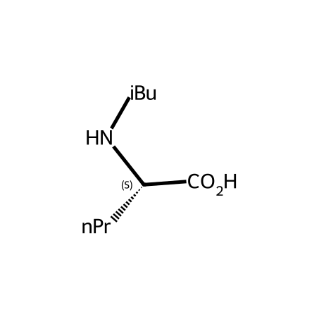 CCC[C@H](NC(C)CC)C(=O)O